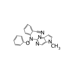 Cn1ccc2nc(N(Oc3ccccc3)c3ccccc3C#N)ncc21